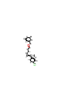 C[C@@H](CCCCOCc1ccccc1)[SiH2]c1ccc(Cl)cc1